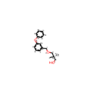 CC[C@@](C)(CO)COCc1cccc(Oc2ccccc2)c1